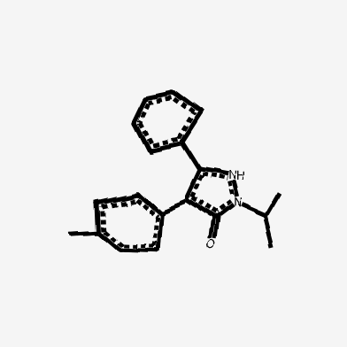 Cc1ccc(-c2c(-c3ccccc3)[nH]n(C(C)C)c2=O)cc1